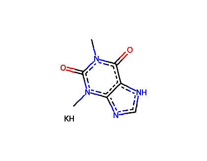 Cn1c(=O)c2[nH]cnc2n(C)c1=O.[KH]